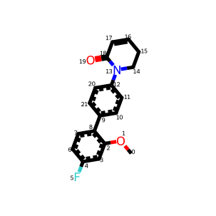 COc1cc(F)ccc1-c1ccc(N2CCC=CC2=O)cc1